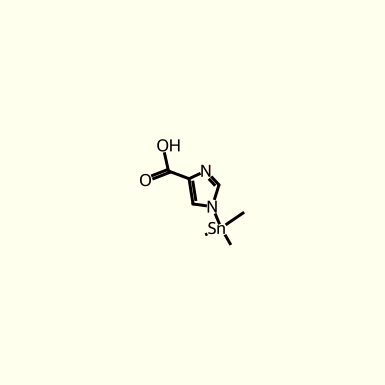 [CH3][Sn]([CH3])([CH3])[n]1cnc(C(=O)O)c1